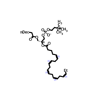 CC/C=C\C/C=C\C/C=C\C/C=C\C/C=C\CCCC(=O)O[C@H](COC(=O)CCCCCCCCCCC)COP(=O)([O-])OCC[N+](C)(C)C